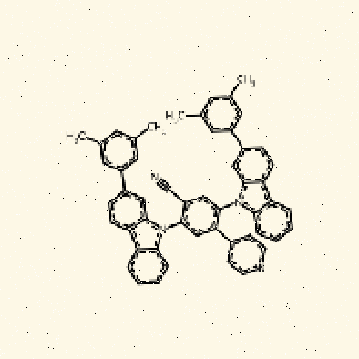 Cc1cc(C)cc(-c2ccc3c4ccccc4n(-c4cc(-c5ccncc5)c(-n5c6ccccc6c6ccc(-c7cc(C)cc(C)c7)cc65)cc4C#N)c3c2)c1